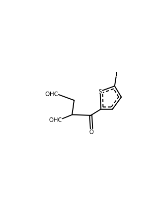 O=CCC(C=O)C(=O)c1ccc(I)s1